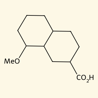 COC1CCCC2CCC(C(=O)O)CC21